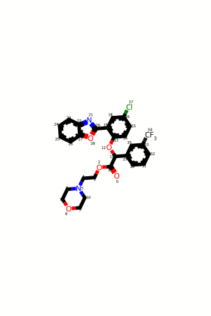 O=C(OCCN1CCOCC1)C(Oc1ccc(Cl)cc1-c1nc2ccccc2o1)c1cccc(C(F)(F)F)c1